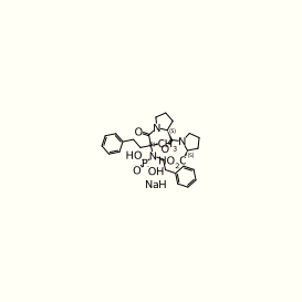 C[C@@](CCc1ccccc1)(C(=O)N1CCC[C@H]1C(=O)N1CCC[C@H]1C(=O)O)N(CCc1ccccc1)P(=O)(O)O.[NaH]